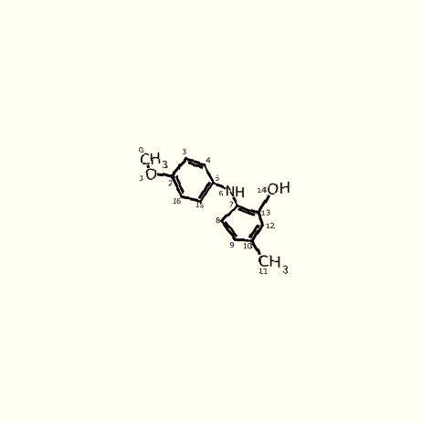 COc1ccc(Nc2ccc(C)cc2O)cc1